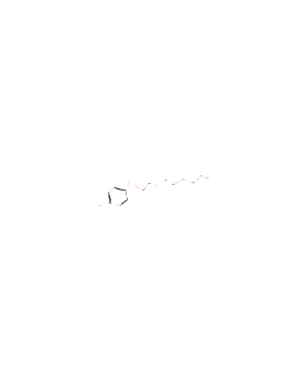 CCCCCCOCCOc1ccc(SC)cc1